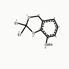 CCC1(CC)OCc2cccc(OC)c2O1